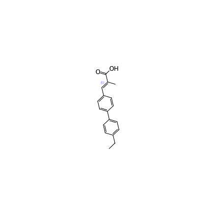 CCc1ccc(-c2ccc(/C=C(\C)C(=O)O)cc2)cc1